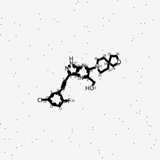 OCc1nc2c(C#Cc3cc(Cl)ccc3F)n[nH]c2nc1N1CCC2(CCOC2)CC1